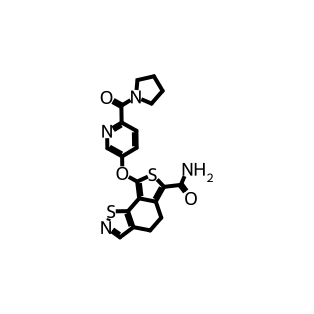 NC(=O)c1sc(Oc2ccc(C(=O)N3CCCC3)nc2)c2c1CCc1cnsc1-2